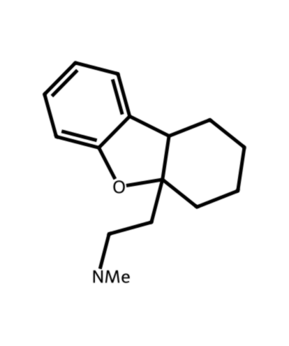 CNCCC12CCCCC1c1ccccc1O2